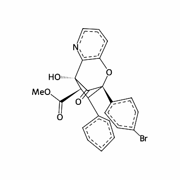 COC(=O)[C@@H]1C(c2ccccc2)[C@@]2(c3ccc(Br)cc3)Oc3cccnc3[C@@]1(O)C2=O